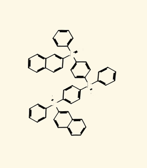 O=P(c1ccccc1)(c1ccc(P(=O)(c2ccccc2)c2ccc3ccccc3c2)cc1)c1ccc(P(=O)(c2ccccc2)c2ccc3ccccc3c2)cc1